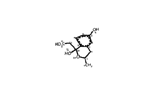 C[C@@H]1Cc2cc(O)ccc2C(O)(CC(=O)O)O1